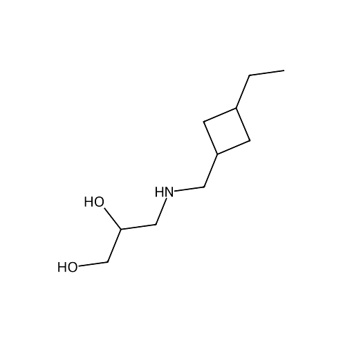 CCC1CC(CNCC(O)CO)C1